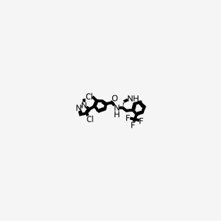 Cn1ncc(Cl)c1-c1ccc(C(=O)N[C@H](CN)Cc2ccccc2C(F)(F)F)cc1Cl